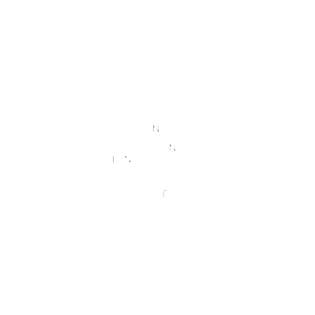 Nc1c(-c2c(F)[c]ccc2F)oc2nc(-c3ccccc3)ncc12